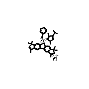 CC1=CC(C)(C)c2cc3c(cc21)-c1cc2c(cc1[CH]3/[Zr+2](=[CH]/c1ccccc1)[C]1=C(C)C(C(C)C)=CC1C)C(C)(C)C=C2C.[Cl-].[Cl-]